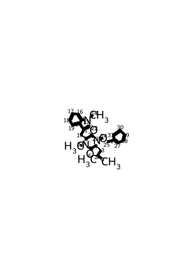 CC(C)C[C@H]1C(=O)N(C)[C@@H](Cc2cn(C)c3ccccc23)C(=O)N1OCc1ccccc1